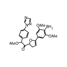 Bc1c(OC)cc(C2=CCC(C(=O)C(OC)c3ccc(-n4cncn4)cc3)O2)cc1OC